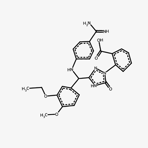 CCOc1cc(C(Nc2ccc(C(=N)N)cc2)c2nn(-c3ccccc3C(=O)O)c(=O)[nH]2)ccc1OC